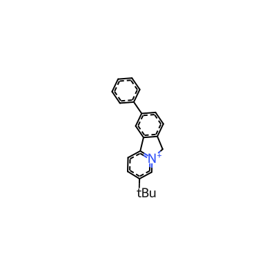 CC(C)(C)c1ccc2[n+](c1)Cc1ccc(-c3ccccc3)cc1-2